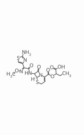 CCC(OC(=O)C1=CCS[C@H]2C(NC(=O)C(=NOC)c3csc(N)n3)C(=O)N12)C(=O)O